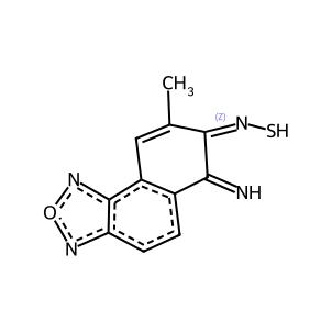 CC1=Cc2c(ccc3nonc23)C(=N)/C1=N\S